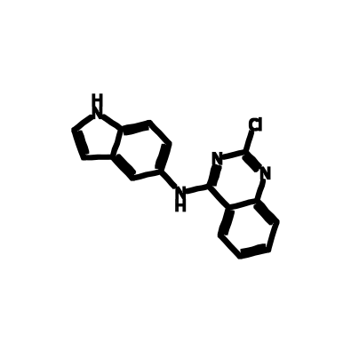 Clc1nc(Nc2ccc3[nH]ccc3c2)c2ccccc2n1